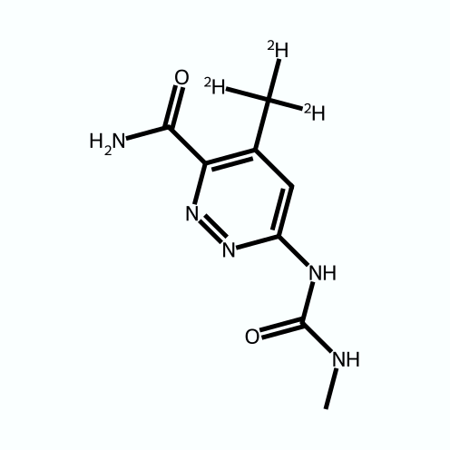 [2H]C([2H])([2H])c1cc(NC(=O)NC)nnc1C(N)=O